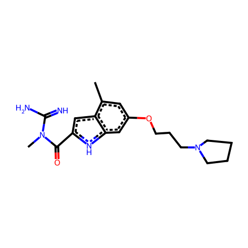 Cc1cc(OCCCN2CCCC2)cc2[nH]c(C(=O)N(C)C(=N)N)cc12